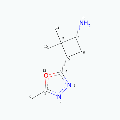 Cc1nnc([C@H]2C[C@@H](N)C2(C)C)o1